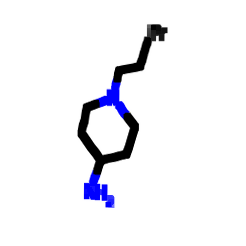 CC(C)CCN1CCC(N)CC1